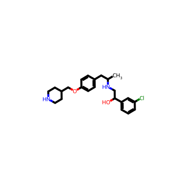 CC(Cc1ccc(OCC2CCNCC2)cc1)NCC(O)c1cccc(Cl)c1